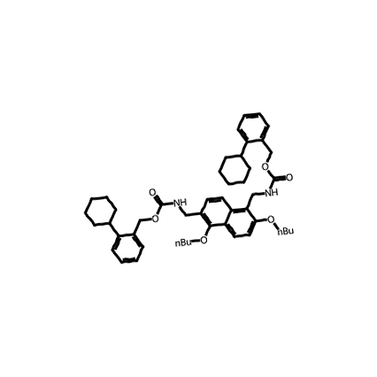 CCCCOc1ccc2c(OCCCC)c(CNC(=O)OCc3ccccc3C3CCCCC3)ccc2c1CNC(=O)OCc1ccccc1C1CCCCC1